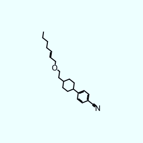 CCCC/C=C/COCCC1CCC(c2ccc(C#N)cc2)CC1